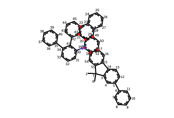 CC1(C)c2cc(-c3ccccc3)ccc2-c2ccc(N(c3ccc4ccccc4c3)c3cccc(-c4ccccc4)c3-c3ccccc3-c3ccccc3)cc21